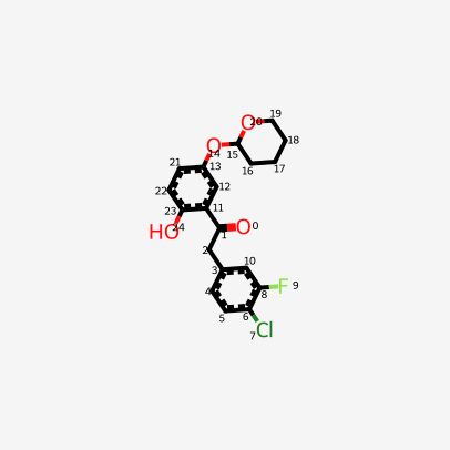 O=C(Cc1ccc(Cl)c(F)c1)c1cc(OC2CCCCO2)ccc1O